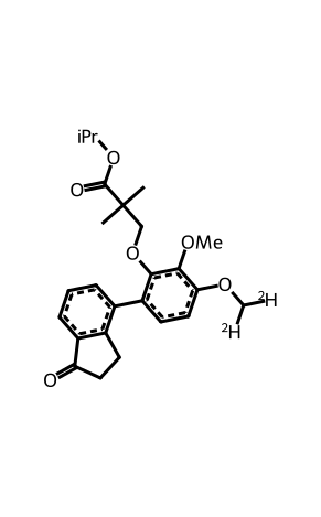 [2H]C([2H])Oc1ccc(-c2cccc3c2CCC3=O)c(OCC(C)(C)C(=O)OC(C)C)c1OC